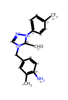 Cc1cc(CN2C=NN(c3ccc(C(F)(F)F)cc3)C2C=O)ccc1N